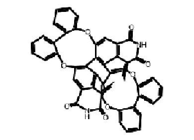 O=c1[nH]c(=O)c2cc3oc4ccccc4c4ccccc4oc4cc5c(=O)[nH]c(=O)c6cc7oc8ccccc8c8ccccc8oc8cc1c2c1c8c7c(c65)c4c31